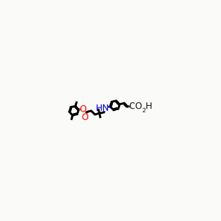 Cc1ccc(C)c(OC(=O)CCC(C)(C)CNc2ccc(C=CC(=O)O)cc2)c1